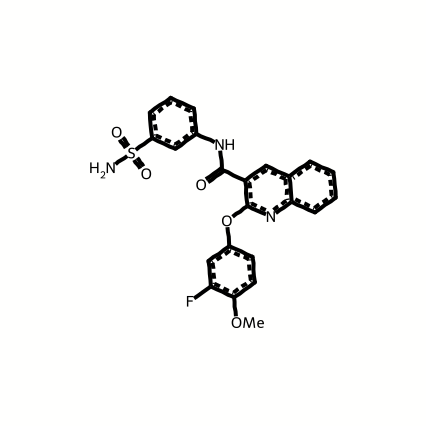 COc1ccc(Oc2nc3ccccc3cc2C(=O)Nc2cccc(S(N)(=O)=O)c2)cc1F